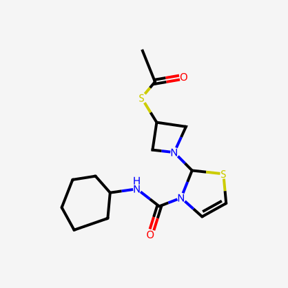 CC(=O)SC1CN(C2SC=CN2C(=O)NC2CCCCC2)C1